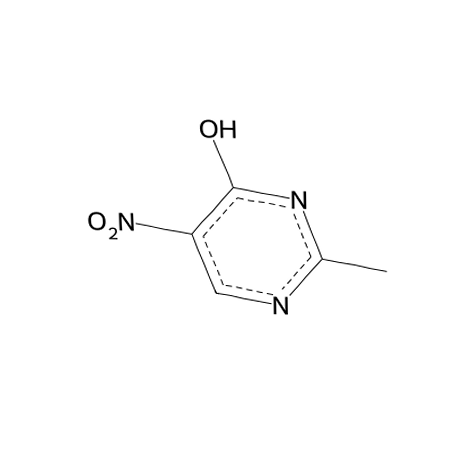 Cc1ncc([N+](=O)[O-])c(O)n1